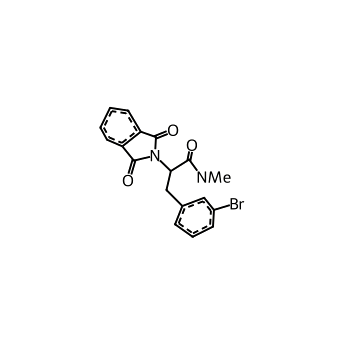 CNC(=O)C(Cc1cccc(Br)c1)N1C(=O)c2ccccc2C1=O